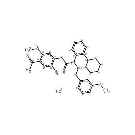 COc1cccc(CNN(C(=O)Cc2cc(OC)c(C(=O)O)cc2Br)c2ccccc2N2CCCCC2)c1.Cl